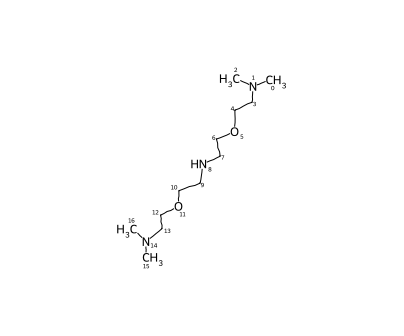 CN(C)CCOCCNCCOCCN(C)C